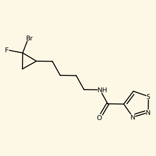 O=C(NCCCCC1CC1(F)Br)c1csnn1